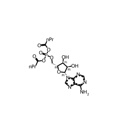 CCCC(=O)OP(=O)(OC[C@H]1O[C@@H](n2cnc3c(N)ncnc32)[C@H](O)[C@@H]1O)OC(=O)CCC